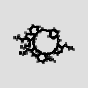 COc1ccc2cc1Oc1ccc(cc1)CC1=NCCc3cc(OC)c(OC)c(c31)Oc1cc3c(cc1OC)CCN(C)[C@@H]3C2